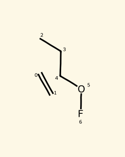 C=C.CCCOF